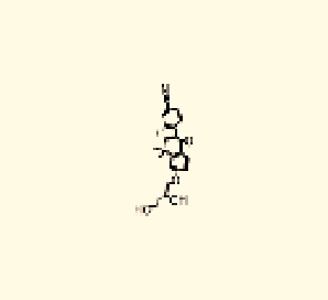 CC1(C)c2cc(OCC(O)CCO)ccc2C(=O)c2c1oc1cc(C#N)ccc21